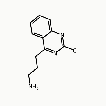 NCCCc1nc(Cl)nc2ccccc12